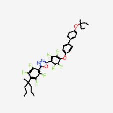 CCCC(C)(CCC)c1c(F)c(F)c(-c2nnc(-c3c(F)c(F)c(Oc4ccc(C5=CC=C(OC(C)(CC)CC)CC5)cc4)c(F)c3F)o2)c(F)c1F